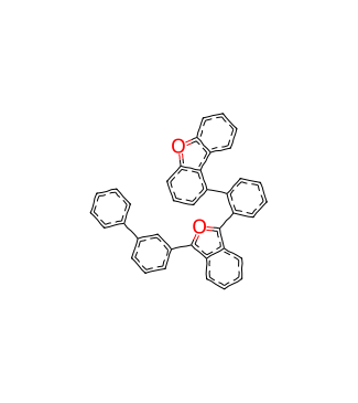 c1ccc(-c2cccc(-c3oc(-c4ccccc4-c4cccc5oc6ccccc6c45)c4ccccc34)c2)cc1